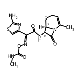 CNC(=O)ON=C(C(=O)N[C@@H]1C(=O)N2C(C)=CCS[C@@H]12)c1csc(N)n1